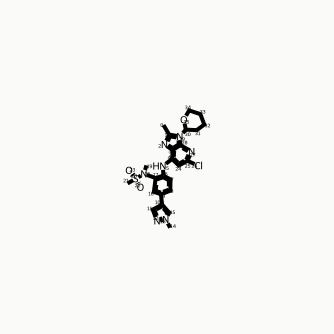 Cc1nc2c(Nc3ccc(-c4cnn(C)c4)cc3N(C)S(C)(=O)=O)cc(Cl)nc2n1C1CCCCO1